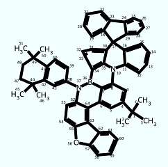 CC(C)(C)c1cc2c3c(c1)N1c4ccccc4C4(c5ccccc5-c5ccccc54)c4cccc(c41)B3N(c1ccc3c(c1)C(C)(C)CCC3(C)C)c1ccc3oc4ccccc4c3c1-2